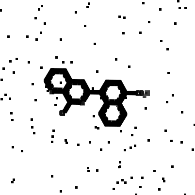 O=C(O)c1ccc(-c2cc3cccnc3c(Cl)n2)c2ccccc12